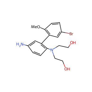 COc1ccc(Br)cc1-c1cc(N)ccc1N(CCO)CCO